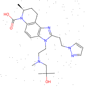 C[C@H]1CCc2c(ccc3c2nc(CCn2cccn2)n3CCN(C)CC(C)(C)O)N1C(=O)O